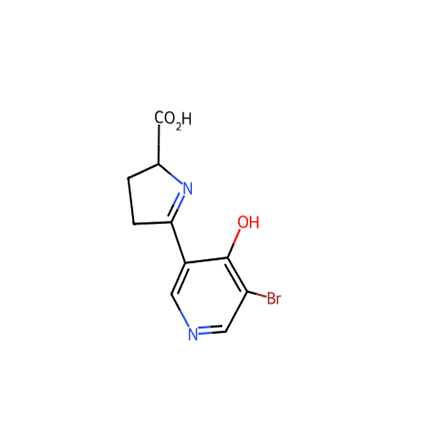 O=C(O)C1CCC(c2cncc(Br)c2O)=N1